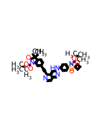 CCC1(CC)C(=O)N(C(=O)OC(C)(C)C)c2cc(C#Cc3nccc4cnc(Nc5ccc(S(=O)(=NC(=O)OC(C)(C)C)C6CCC6)cc5)cc34)ccc21